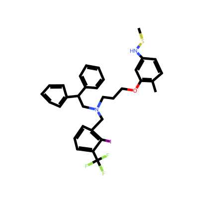 CSNc1ccc(C)c(OCCCN(Cc2cccc(C(F)(F)F)c2I)CC(c2ccccc2)c2ccccc2)c1